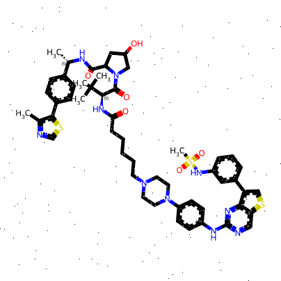 Cc1ncsc1-c1ccc([C@H](C)NC(=O)C2CC(O)CN2C(=O)[C@@H](NC(=O)CCCCCN2CCN(c3ccc(Nc4ncc5scc(-c6cccc(NS(C)(=O)=O)c6)c5n4)cc3)CC2)C(C)(C)C)cc1